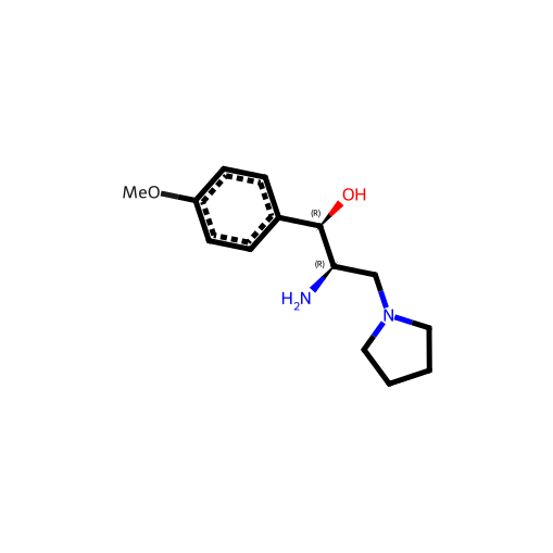 COc1ccc([C@@H](O)[C@H](N)CN2CCCC2)cc1